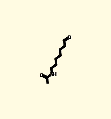 CC(=O)NCCCCCC[C]=O